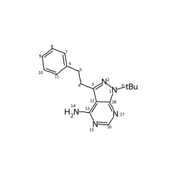 CC(C)(C)n1nc(CCc2ccccc2)c2c(N)ncnc21